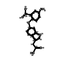 Nc1ccc(Oc2ccc3c(CC(=O)O)coc3c2)c([N+](=O)[O-])c1